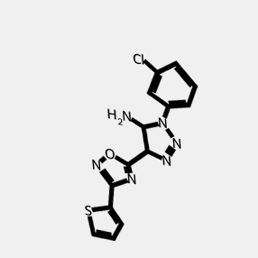 NC1C(c2nc(-c3cccs3)no2)N=NN1c1cccc(Cl)c1